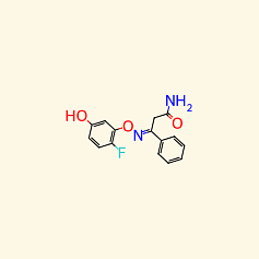 NC(=O)C/C(=N\Oc1cc(O)ccc1F)c1ccccc1